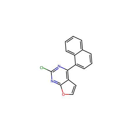 Clc1nc(-c2cccc3ccccc23)c2ccoc2n1